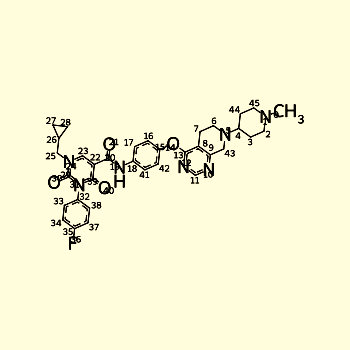 CN1CCC(N2CCc3c(ncnc3Oc3ccc(NC(=O)c4cn(CC5CC5)c(=O)n(-c5ccc(F)cc5)c4=O)cc3)C2)CC1